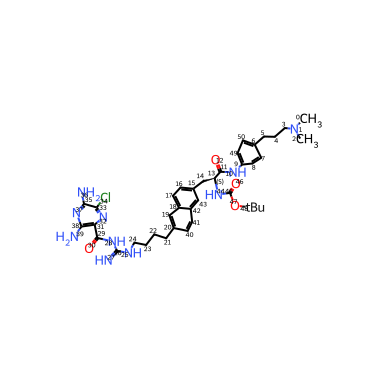 CN(C)CCCc1ccc(NC(=O)[C@H](Cc2ccc3cc(CCCCNC(=N)NC(=O)c4nc(Cl)c(N)nc4N)ccc3c2)NC(=O)OC(C)(C)C)cc1